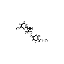 O=Cc1ccc(COC(=O)Nc2cccc(Cl)c2)cc1